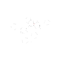 c1ccc(-c2cc(-c3ccccc3)nc(-c3cccc4oc5ccc(-c6nc(-c7ccccc7)nc7c6oc6ccccc67)cc5c34)n2)cc1